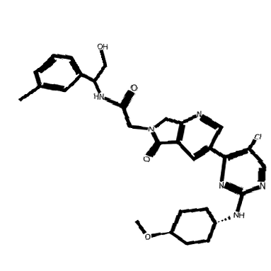 CO[C@H]1CC[C@H](Nc2ncc(Cl)c(-c3cnc4c(c3)C(=O)N(CC(=O)NC(CO)c3cccc(C)c3)C4)n2)CC1